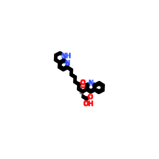 O=C(O)C[C@H](CC(O)CCCCc1ccc2c(n1)NCCC2)c1cnc2ccccc2c1